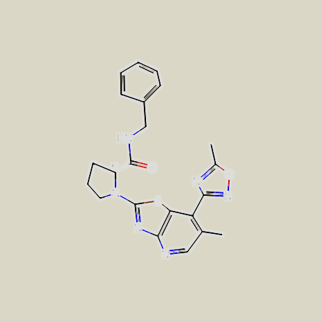 Cc1nc(-c2c(C)cnc3nc(N4CCC[C@@H]4C(=O)NCc4ccccc4)sc23)no1